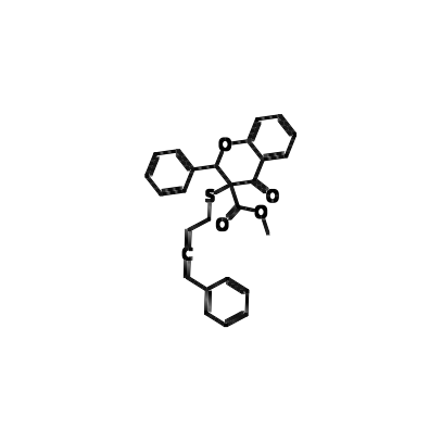 COC(=O)C1(SCC=C=Cc2ccccc2)C(=O)c2ccccc2OC1c1ccccc1